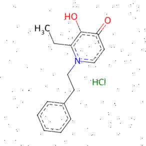 CCc1c(O)c(=O)ccn1CCc1ccccc1.Cl